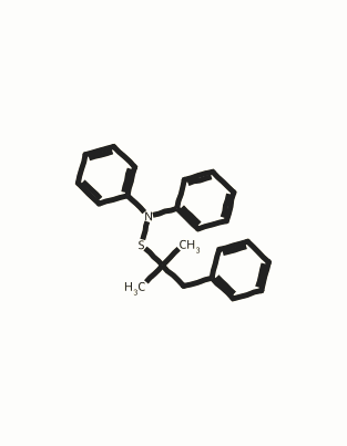 CC(C)(Cc1ccccc1)SN(c1ccccc1)c1ccccc1